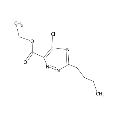 CCCCc1nnc(C(=O)OCC)c(Cl)n1